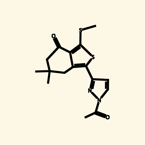 CSc1sc(-c2ccn(C(C)=O)n2)c2c1C(=O)CC(C)(C)C2